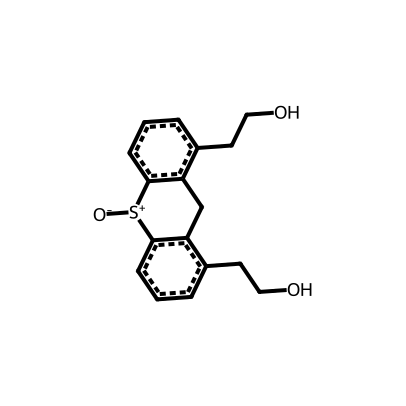 [O-][S+]1c2cccc(CCO)c2Cc2c(CCO)cccc21